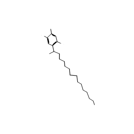 CCCCCCCCCCCCCCC(C)c1cc(O)c(C)cc1O